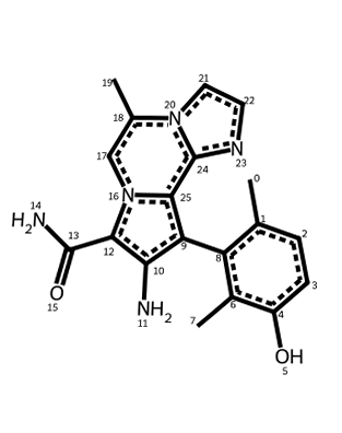 Cc1ccc(O)c(C)c1-c1c(N)c(C(N)=O)n2cc(C)n3ccnc3c12